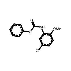 COc1ccc(Cl)cc1NC(=O)Oc1ccccc1